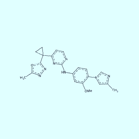 COc1cc(Nc2nccc(C3(c4nnc(C)o4)CC3)n2)ccc1-n1cnc(C)c1